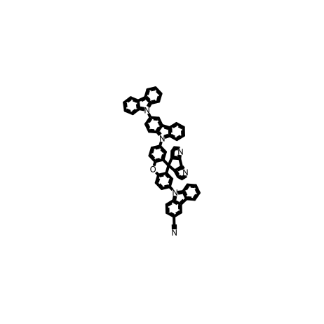 N#Cc1ccc2c(c1)c1ccccc1n2-c1ccc2c(c1)C1(c3cc(-n4c5ccccc5c5cc(-n6c7ccccc7c7ccccc76)ccc54)ccc3O2)c2cccnc2-c2ncccc21